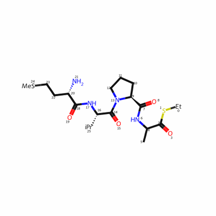 CCSC(=O)C(C)NC(=O)[C@@H]1CCCN1C(=O)[C@@H](NC(=O)[C@@H](N)CCSC)C(C)C